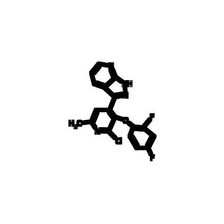 Cc1cc(-c2n[nH]c3ncccc23)c(Oc2ccc(F)cc2F)c(Cl)n1